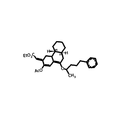 CCOC(=O)C=C1CC2C(=C(OC(C)CCCc3ccccc3)C[C@@H]3CCCC[C@@H]23)C=C1OC(C)=O